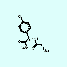 COC(=O)[C@@H](NC(=O)OC(C)(C)C)c1ccc(Cl)cc1